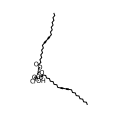 CCCCCCCCCCC#CC#CCCCCCCCCC(=O)OC[C@H](COP(=O)(O)Cl)OC(=O)CCCCCCCCC#CC#CCCCCCCCCCC